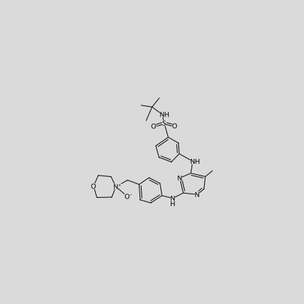 Cc1cnc(Nc2ccc(C[N+]3([O-])CCOCC3)cc2)nc1Nc1cccc(S(=O)(=O)NC(C)(C)C)c1